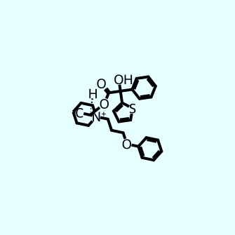 O=C(O[C@@H]1CC2CC[N+]1(CCCOc1ccccc1)CC2)C(O)(c1ccccc1)c1cccs1